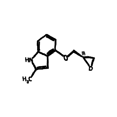 Cc1cc2c(OC[C@H]3CO3)cccc2[nH]1